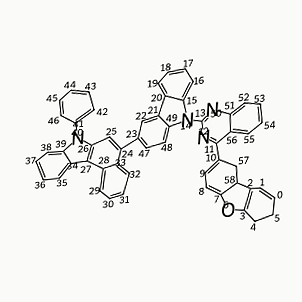 C1=CC2=C(CC1)OC1=CC=C(c3nc(-n4c5ccccc5c5cc(-c6cc7c(c8ccccc68)c6ccccc6n7-c6ccccc6)ccc54)nc4ccccc34)CC12